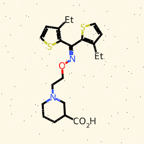 CCc1ccsc1C(=NOCCN1CCCC(C(=O)O)C1)c1sccc1CC